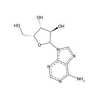 Nc1ncnc2c1ncn2C1O[C@H](CO)[C@H](O)[C@H]1O